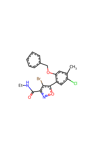 CCNC(=O)c1noc(-c2cc(Cl)c(C)cc2OCc2ccccc2)c1Br